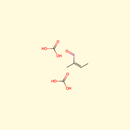 C/C=C(/C)I=O.O=C(O)O.O=C(O)O